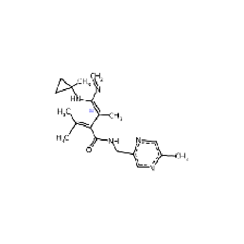 C=N/C(NC1(C)CC1)=C(\C)C(C(=O)NCc1cnc(C)cn1)=C(C)C